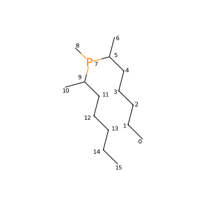 CCCCCC(C)P(C)C(C)CCCCC